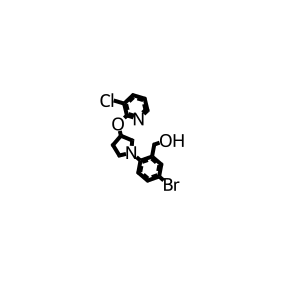 OCc1cc(Br)ccc1N1CCC(Oc2ncccc2Cl)C1